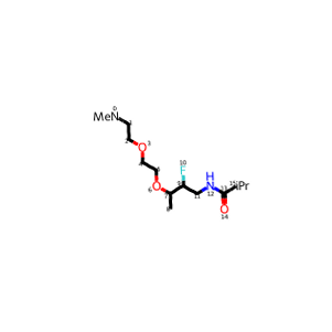 CNCCOCCOC(C)C(F)CNC(=O)C(C)C